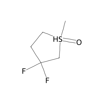 C[SH]1(=O)CCC(F)(F)C1